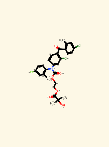 Cc1cc(Cl)ccc1C(=O)c1ccc(N(C(=O)OCCOC(=O)C(C)(C)O)c2ccc(F)cc2C)cc1Cl